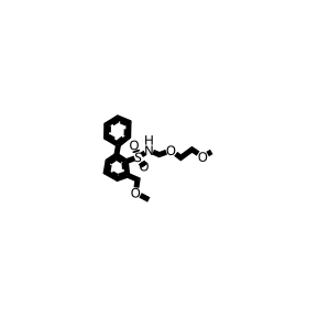 COCCOCNS(=O)(=O)c1c(COC)cccc1-c1ccccc1